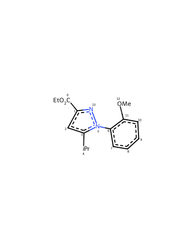 CCOC(=O)c1cc(C(C)C)n(-c2ccccc2OC)n1